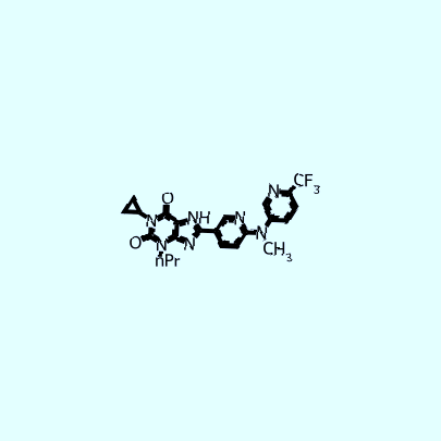 CCCn1c(=O)n(C2CC2)c(=O)c2[nH]c(-c3ccc(N(C)c4ccc(C(F)(F)F)nc4)nc3)nc21